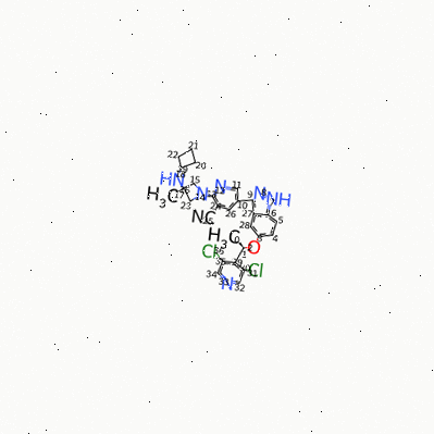 C[C@@H](Oc1ccc2[nH]nc(-c3cnc(N4CC(C)(NC5CCC5)C4)c(C#N)c3)c2c1)c1c(Cl)cncc1Cl